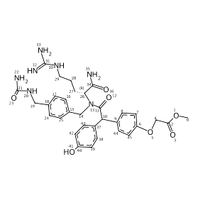 COC(=O)COc1ccc(C(C(=O)N(Cc2ccc(CNC(N)=O)cc2)[C@H](CCCNC(=N)N)C(N)=O)c2ccc(O)cc2)cc1